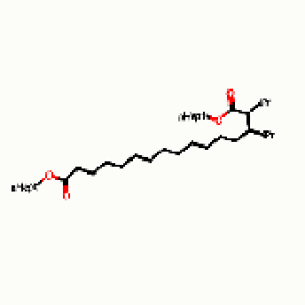 CCCCCCCOC(=O)CCCCCCCCCCCCC(C(C)C)C(C(=O)OCCCCCCC)C(C)C